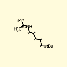 C=C(NCCCCCC(C)(C)C)C(C)C